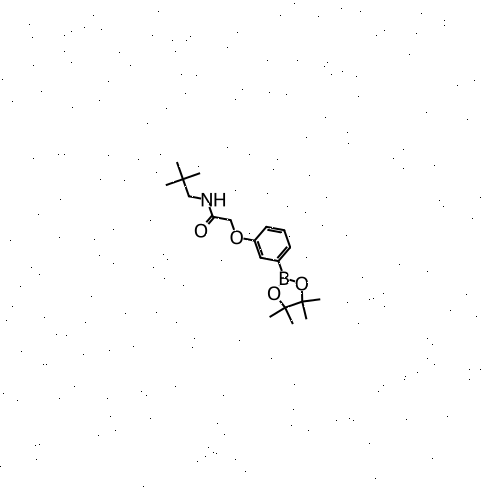 CC(C)(C)CNC(=O)COc1cccc(B2OC(C)(C)C(C)(C)O2)c1